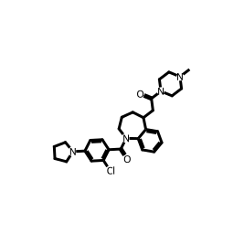 CN1CCN(C(=O)CC2CCCN(C(=O)c3ccc(N4CCCC4)cc3Cl)c3ccccc32)CC1